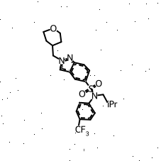 CC(C)CN(c1ccc(C(F)(F)F)cc1)S(=O)(=O)c1ccc2nn(CC3CCOCC3)cc2c1